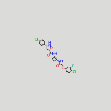 O=C(COc1ccc(Cl)c(F)c1)NC12CC(C1)C(NC(=O)C1CC(c3ccc(Cl)cc3)NO1)C2